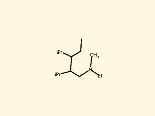 CCN(C)CC(C(C)C)C(CI)C(C)C